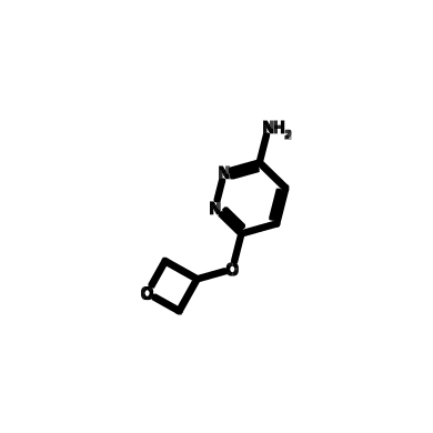 Nc1ccc(OC2COC2)nn1